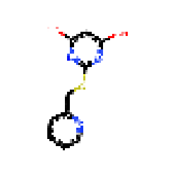 Oc1cc(O)nc(SCc2ccccn2)n1